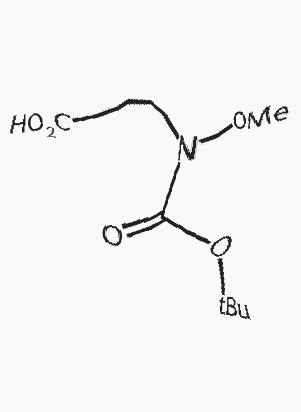 CON(CC(=O)O)C(=O)OC(C)(C)C